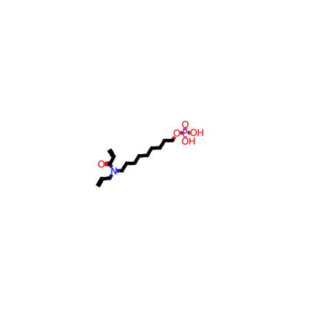 C=CCN(CCCCCCCCCOP(=O)(O)O)C(=O)C=C